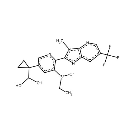 CC[S+]([O-])c1cc(C2(C(O)O)CC2)cnc1-c1nc2cc(C(F)(F)F)cnc2n1C